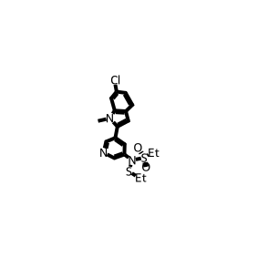 CCSN(c1cncc(-c2cc3ccc(Cl)cc3n2C)c1)S(=O)(=O)CC